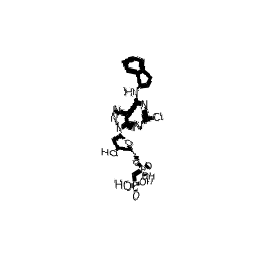 O=P(O)(O)CP(=O)(O)OC[C@H]1O[C@@H](n2nnc3c(N[C@@H]4CCc5ccccc54)nc(Cl)nc32)C[C@@H]1O